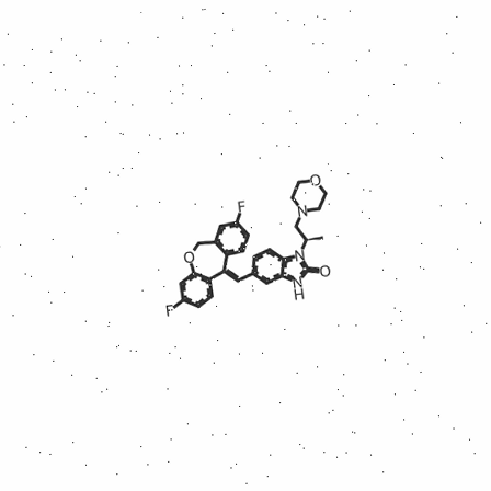 C[C@H](CN1CCOCC1)n1c(=O)[nH]c2cc(/C=C3\c4ccc(F)cc4COc4cc(F)ccc43)ccc21